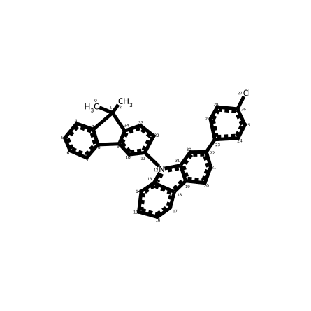 CC1(C)c2ccccc2-c2cc(-n3c4ccccc4c4ccc(-c5ccc(Cl)cc5)cc43)ccc21